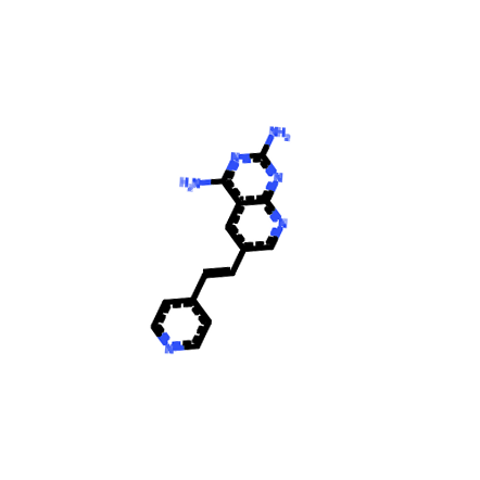 Nc1nc(N)c2cc(C=Cc3ccncc3)cnc2n1